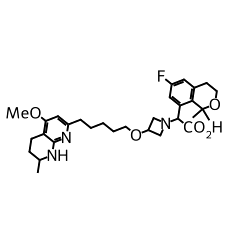 COc1cc(CCCCCOC2CN(C(C(=O)O)c3cc(F)cc4c3C(C)(C)OCC4)C2)nc2c1CCC(C)N2